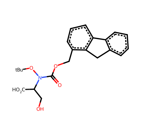 CC(C)(C)ON(C(=O)OCc1cccc2c1Cc1ccccc1-2)C(CO)C(=O)O